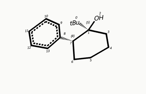 CC(C)(C)[C@]1(O)CCCC[C@@H]1c1ccccc1